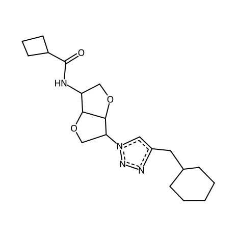 O=C(NC1COC2C1OCC2n1cc(CC2CCCCC2)nn1)C1CCC1